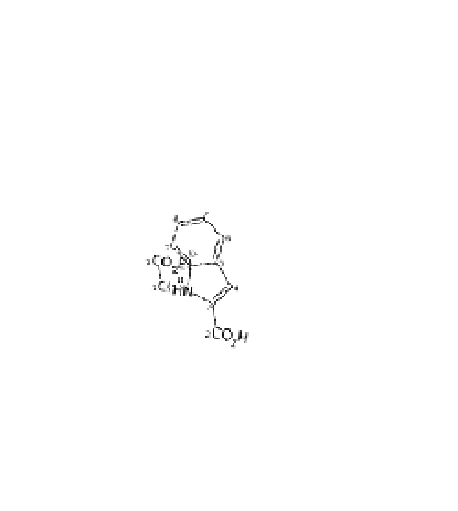 CCOC(=O)Cl.O=C(O)c1cc2ccccc2[nH]1